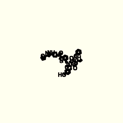 C=CCN1CC(=O)N2[C@@H](Cc3ccc(O)cc3)C(=O)N(Cc3cccc4c(C(=O)N5CCC(c6cc(-c7ccco7)n[nH]6)CC5)cn(C)c34)C[C@@H]2N1C(=O)NCc1ccccc1